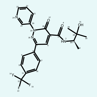 C[C@@H](NC(=O)c1cc(-c2ccc(C(F)(F)F)cc2)nn(-c2cccnc2)c1=O)C(C)(C)O